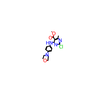 COC(=O)c1c(C)nc(Cl)nc1Nc1ccc(N2CCOCC2)cc1